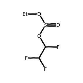 CCOS(=O)OC(F)C(F)F